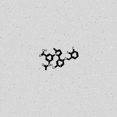 CC(=O)Nc1cc(C(=O)O)cc(-n2c(C)ccc2-c2cc(Cl)ccc2OCc2cccc(F)c2F)c1